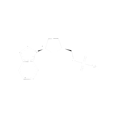 NS(=O)(=O)OC[C@@H]1CC[C@H](n2ccc3ccccc32)O1